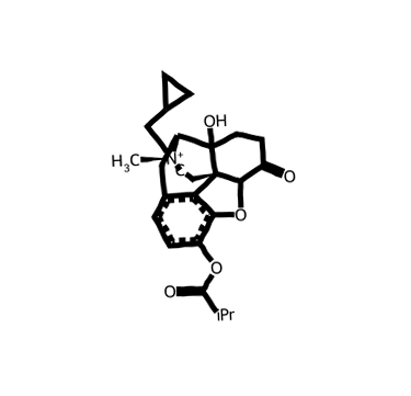 CC(C)C(=O)Oc1ccc2c3c1OC1C(=O)CCC4(O)C(C2)[N@@+](C)(CC2CC2)CC[C@]314